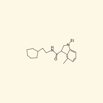 CCN1CC(C(=O)NCCC2CCCCC2)c2c(C)cccc21